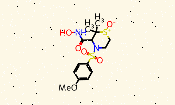 COc1ccc(S(=O)(=O)N2CC[S+]([O-])C(C)(C)C2C(=O)NO)cc1